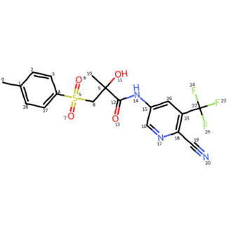 Cc1ccc(S(=O)(=O)CC(C)(O)C(=O)Nc2cnc(C#N)c(C(F)(F)F)c2)cc1